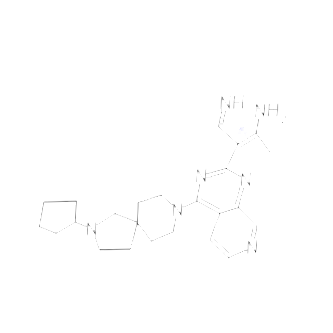 C/C(N)=C(/C=N)c1nc(N2CCC3(CC2)CCN(C2CCCC2)C3)c2ccncc2n1